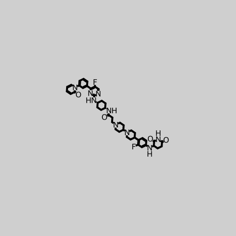 O=C1CCC(Nc2ccc(C3CCN(C4CCN(CCC(=O)N[C@H]5CC[C@H](Nc6ncc(F)c(-c7cccc(-n8ccccc8=O)c7)n6)CC5)CC4)CC3)c(F)c2)C(=O)N1